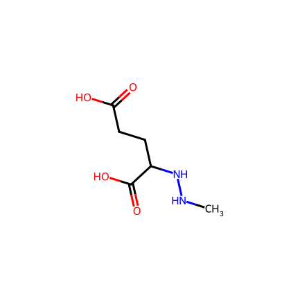 CNNC(CCC(=O)O)C(=O)O